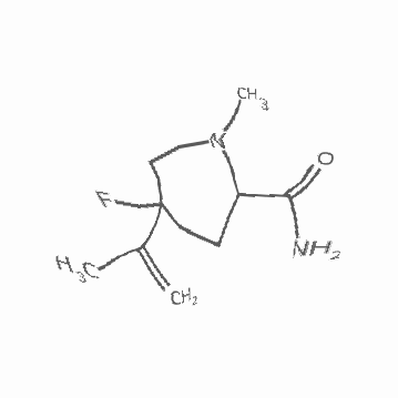 C=C(C)C1(F)CC(C(N)=O)N(C)C1